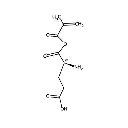 C=C(C)C(=O)OC(=O)[C@@H](N)CCC(=O)O